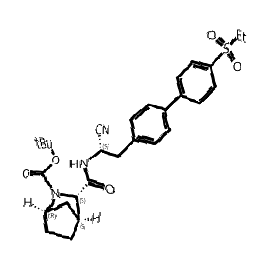 CCS(=O)(=O)c1ccc(-c2ccc(C[C@@H](C#N)NC(=O)[C@@H]3[C@H]4CC[C@H](C4)N3C(=O)OC(C)(C)C)cc2)cc1